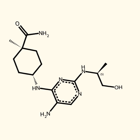 C[C@@H](CO)Nc1ncc(N)c(N[C@H]2CC[C@](C)(C(N)=O)CC2)n1